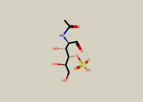 CC(=O)N[C@@H](C=O)[C@@H](O)[C@H](OS(=O)(=O)O)[C@H](O)CO